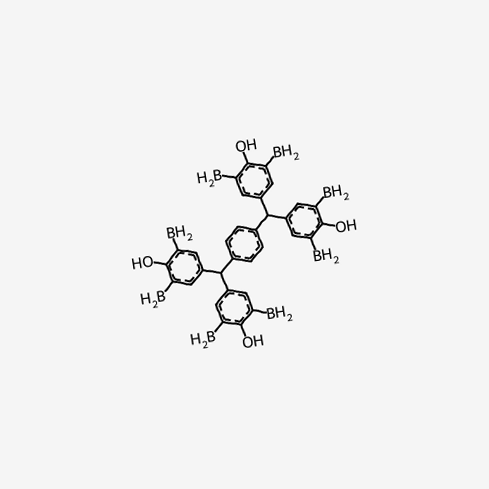 Bc1cc(C(c2ccc(C(c3cc(B)c(O)c(B)c3)c3cc(B)c(O)c(B)c3)cc2)c2cc(B)c(O)c(B)c2)cc(B)c1O